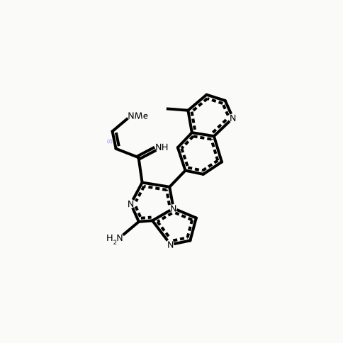 CN/C=C\C(=N)c1nc(N)c2nccn2c1-c1ccc2nccc(C)c2c1